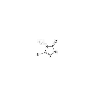 Cn1c(Br)n[nH]c1=O